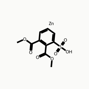 COC(=O)c1cccc(S(=O)(=O)O)c1C(=O)OC.[Zn]